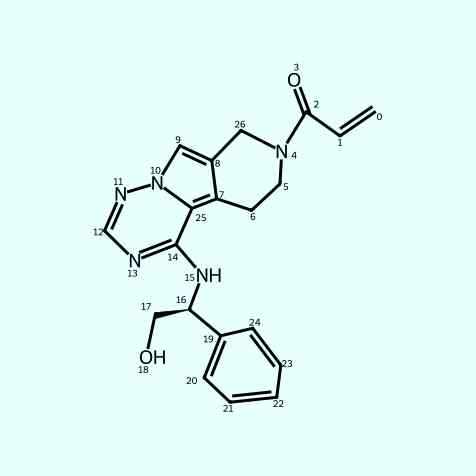 C=CC(=O)N1CCc2c(cn3ncnc(N[C@H](CO)c4ccccc4)c23)C1